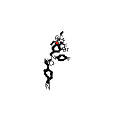 CCOP(=O)(OCC)C(F)(F)c1ccc(CN(c2ccc(F)cc2)c2ncc(-c3ccc(C#N)cc3)o2)cc1Br